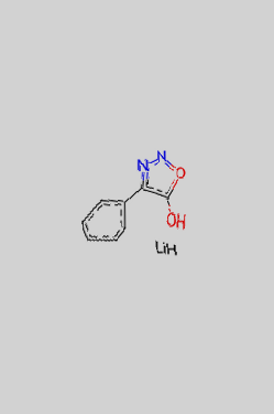 Oc1onnc1-c1ccccc1.[LiH]